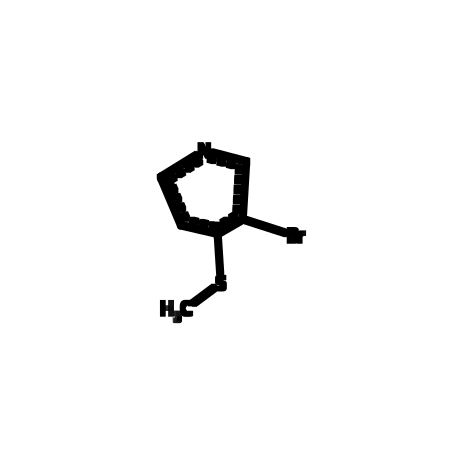 CSc1ccncc1Br